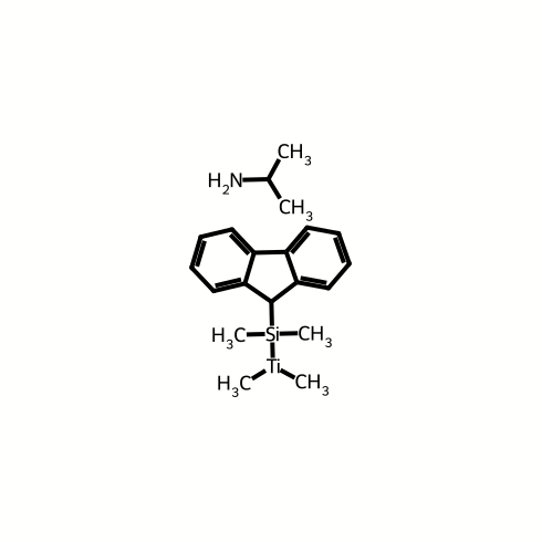 CC(C)N.[CH3][Ti]([CH3])[Si](C)(C)C1c2ccccc2-c2ccccc21